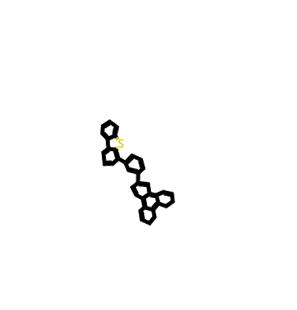 C1=Cc2c(c3c(c4cc(-c5cccc(-c6cccc7c6sc6ccccc67)c5)ccc24)C=CCC3)CC1